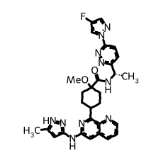 COC1(C(=O)N[C@@H](C)c2ccc(-n3cc(F)cn3)nn2)CCC(c2nc(Nc3cc(C)[nH]n3)cc3cccnc23)CC1